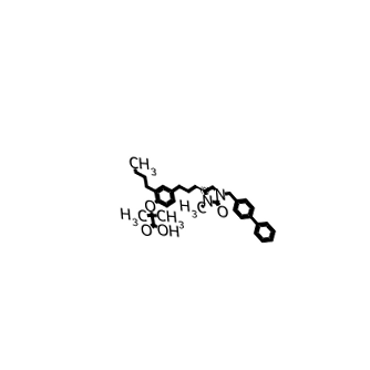 CCCCc1cc(CCC[C@H]2CN(Cc3ccc(-c4ccccc4)cc3)C(=O)N2C)ccc1OC(C)(C)C(=O)O